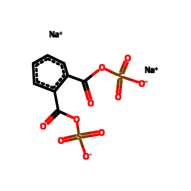 O=C(OS(=O)(=O)[O-])c1ccccc1C(=O)OS(=O)(=O)[O-].[Na+].[Na+]